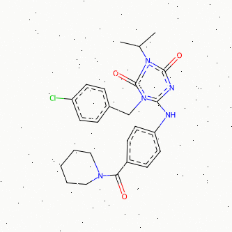 CC(C)n1c(=O)nc(Nc2ccc(C(=O)N3CCCCC3)cc2)n(Cc2ccc(Cl)cc2)c1=O